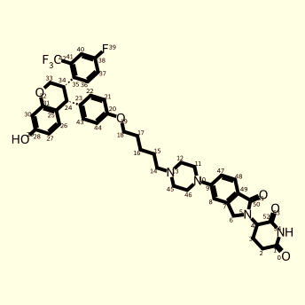 O=C1CCC(N2Cc3cc(N4CCN(CCCCCOc5ccc([C@@H]6c7ccc(O)cc7OC[C@@H]6c6ccc(F)cc6C(F)(F)F)cc5)CC4)ccc3C2=O)C(=O)N1